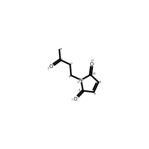 CC(=O)CCN1C(=O)C=CC1=O